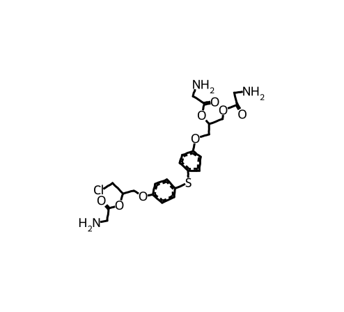 NCC(=O)OCC(COc1ccc(Sc2ccc(OCC(CCl)OC(=O)CN)cc2)cc1)OC(=O)CN